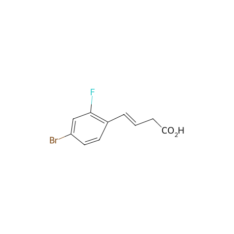 O=C(O)C/C=C/c1ccc(Br)cc1F